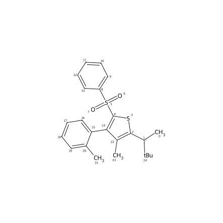 C[C](c1sc(S(=O)(=O)c2ccccc2)c(-c2ccccc2C)c1C)C(C)(C)C